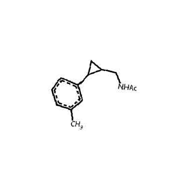 CC(=O)NCC1CC1c1cccc(C)c1